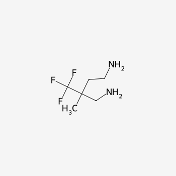 CC(CN)(CCN)C(F)(F)F